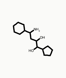 NC(CC(O)C(O)C1CCCC1)C1CCCCC1